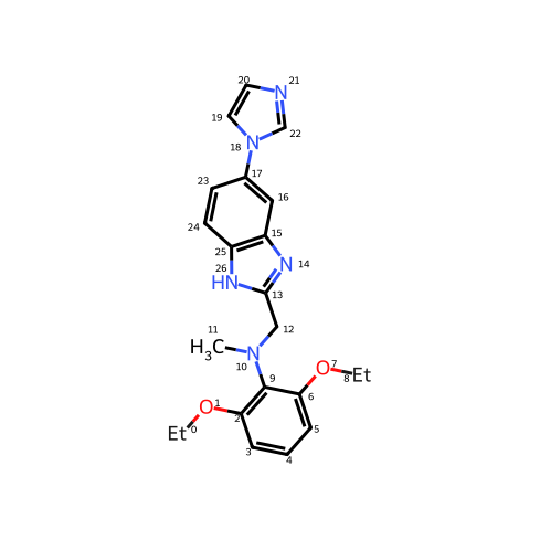 CCOc1cccc(OCC)c1N(C)Cc1nc2cc(-n3ccnc3)ccc2[nH]1